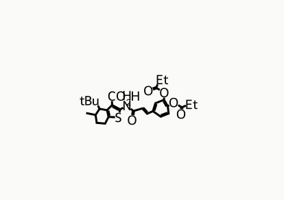 CCC(=O)Oc1ccc(C=CC(=O)Nc2sc3c(c2C(=O)O)C(C(C)(C)C)C(C)CC3)cc1OC(=O)CC